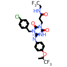 C[C@@H](Oc1ccc(/N=c2\[nH]c(=O)n(CCC(=O)NCC(F)(F)F)c(=O)n2Cc2ccc(Cl)cc2)cc1)C(F)(F)F